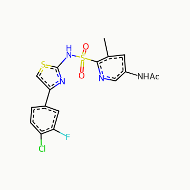 CC(=O)Nc1cnc(S(=O)(=O)Nc2nc(-c3ccc(Cl)c(F)c3)cs2)c(C)c1